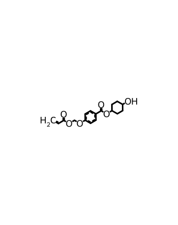 C=CC(=O)OCOc1ccc(C(=O)OC2CCC(O)CC2)cc1